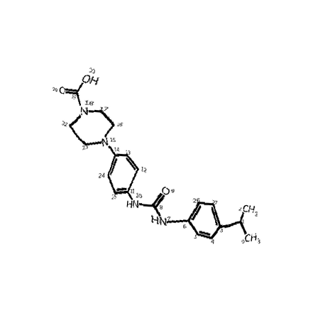 CC(C)c1ccc(NC(=O)Nc2ccc(N3CCN(C(=O)O)CC3)cc2)cc1